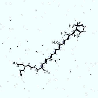 CC1=C(/C=C/C(C)=C/C=C/C(C)=C/C=C/C=C(C)/C=C/C=C(\C)C(=O)OCCN(CCO)CCO)C(C)(C)CCC1